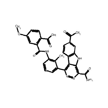 COc1ccc(C(=O)O)c(C(=O)Nc2cccc(-c3nnc(C(N)=O)c4[nH]c5cc(C(C)=O)ccc5c34)c2C)c1